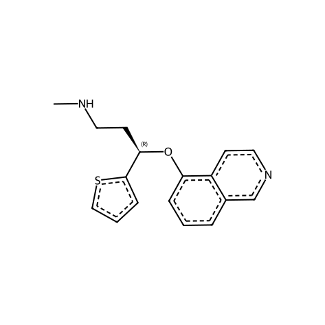 CNCC[C@@H](Oc1cccc2cnccc12)c1cccs1